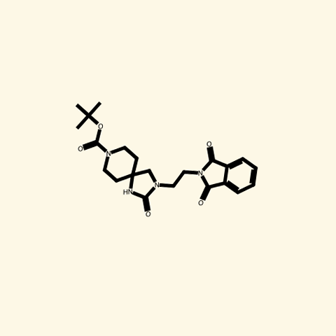 CC(C)(C)OC(=O)N1CCC2(CC1)CN(CCN1C(=O)c3ccccc3C1=O)C(=O)N2